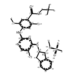 COc1cc(C(=O)NCC(C)(C)C)c(Cl)cc1Nc1ncc(Cl)c(O[C@@H]2Cc3ccccc3[C@H]2N(C)S(C)(=O)=O)n1